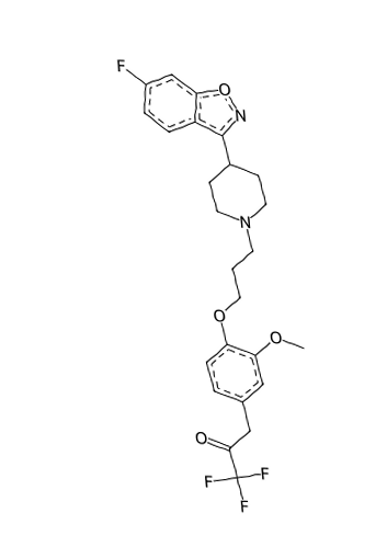 COc1cc(CC(=O)C(F)(F)F)ccc1OCCCN1CCC(c2noc3cc(F)ccc23)CC1